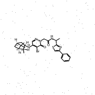 CC(NC(=O)Cn1ncc(N[C@@H]2C[C@@H]3C[C@H]([C@H]2C)C3(C)C)c(Br)c1=O)c1nc(-c2ccccc2)cs1